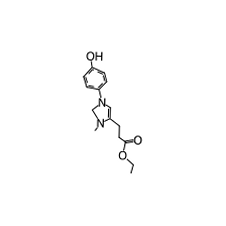 CCOC(=O)CCC1=CN(c2ccc(O)cc2)CN1C